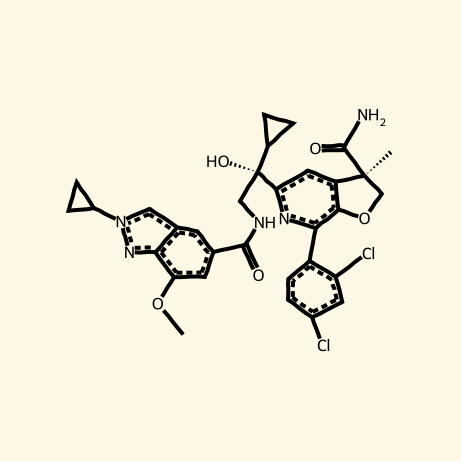 COc1cc(C(=O)NC[C@](O)(c2cc3c(c(-c4ccc(Cl)cc4Cl)n2)OC[C@]3(C)C(N)=O)C2CC2)cc2cn(C3CC3)nc12